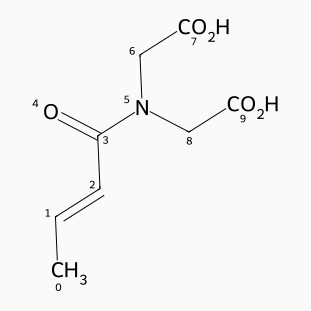 C/C=C/C(=O)N(CC(=O)O)CC(=O)O